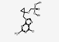 CC(C)OP(=O)(COC1(Cn2cnc3c(Cl)nc(N)nc32)CC1)OC(C)C